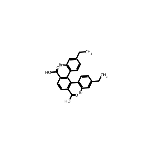 CCc1ccc(-c2c(C(=O)O)ccc(C(=O)O)c2-c2ccc(CC)cc2Br)c(Br)c1